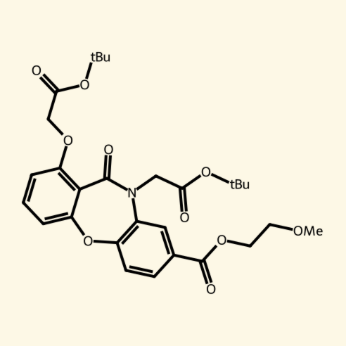 COCCOC(=O)c1ccc2c(c1)N(CC(=O)OC(C)(C)C)C(=O)c1c(OCC(=O)OC(C)(C)C)cccc1O2